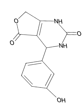 O=C1NC2=C(C(=O)OC2)C(c2cccc(O)c2)N1